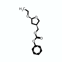 CCO[C@@H]1C[C@H](COC(=O)Oc2ccccc2)CO1